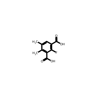 Cc1cc(C(=O)O)c(F)c(C(=O)O)c1C